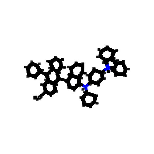 Cc1ccc2c(-c3ccc(N(c4ccccc4)c4ccc(-n5c6ccccc6c6ccccc65)cc4)c4ccccc34)c3ccccc3c(-c3ccccc3)c2c1